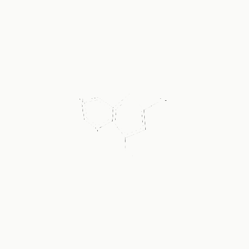 Bc1cc(C)cc2cncnc12